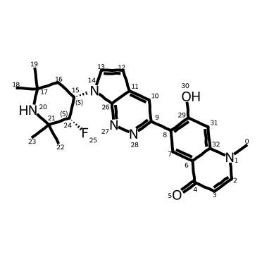 Cn1ccc(=O)c2cc(-c3cc4ccn([C@H]5CC(C)(C)NC(C)(C)[C@H]5F)c4nn3)c(O)cc21